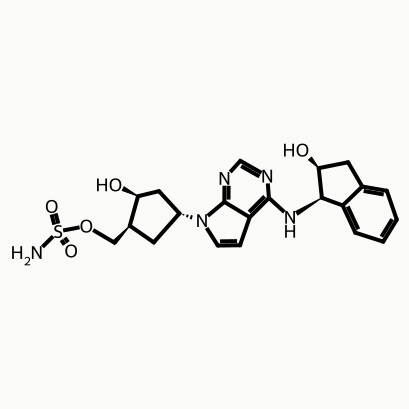 NS(=O)(=O)OC[C@@H]1C[C@@H](n2ccc3c(N[C@@H]4c5ccccc5C[C@@H]4O)ncnc32)C[C@@H]1O